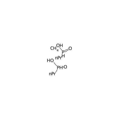 C.CCC[PH](=O)O.CCC[PH](=O)O